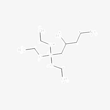 CCO[Si](CC(S)CCN)(OCC)OCC